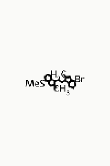 CSc1cccc2c1C=C(C)C2CCC1C(C)=Cc2c(Br)cccc21